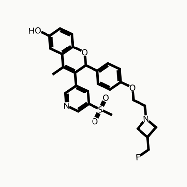 CC1=C(c2cncc(S(C)(=O)=O)c2)C(c2ccc(OCCN3CC(CF)C3)cc2)Oc2ccc(O)cc21